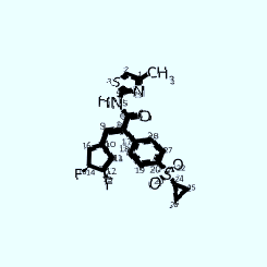 Cc1csc(NC(=O)/C(=C/C2C[C@@H](F)[C@@H](F)C2)c2ccc(S(=O)(=O)C3CC3)cc2)n1